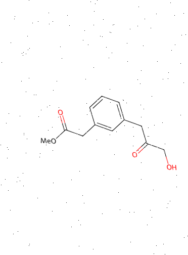 COC(=O)Cc1cccc(CC(=O)CO)c1